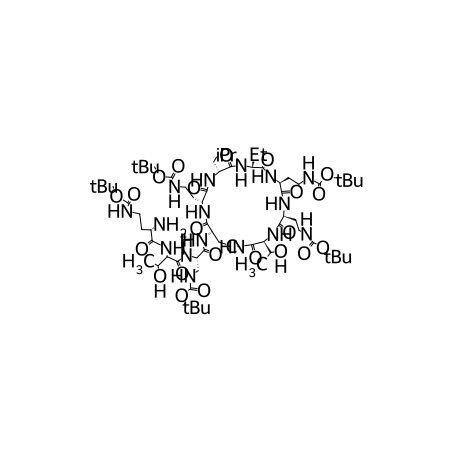 CC[C@@H]1NC(=O)[C@@H](CC(C)C)NC(=O)[C@@H](CCNC(=O)OC(C)(C)C)NC(=O)[C@@H](NC(=O)[C@H](CNC(=O)OC(C)(C)C)NC(=O)[C@@H](NC(=O)[C@@H](N)CCNC(=O)OC(C)(C)C)C(C)O)CCNC(=O)[C@H](C(C)O)NC(=O)[C@H](CCNC(=O)OC(C)(C)C)NC(=O)[C@H](CCNC(=O)OC(C)(C)C)NC1=O